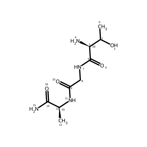 CC(O)[C@H](N)C(=O)NCC(=O)N[C@@H](C)C(N)=O